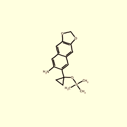 C[Si](C)(C)OC1(c2cc3cc4c(cc3cc2N)OCO4)CC1